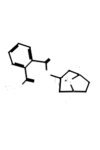 COC(=O)c1ccccc1C(=O)OC1C[C@H]2CC[C@@H](C1)N2C